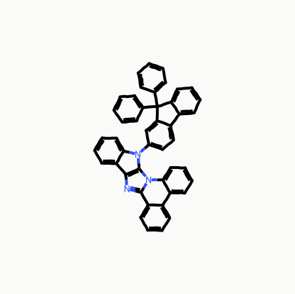 c1ccc(C2(c3ccccc3)c3ccccc3-c3ccc(-n4c5ccccc5c5nc6c7ccccc7c7ccccc7n6c54)cc32)cc1